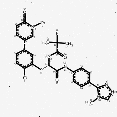 CC(C)n1cc(-c2ccc(Cl)c(C[C@H](NC(=O)C(C)(C)F)C(=O)Nc3ccc(-c4nncn4C)cc3)c2)ccc1=O